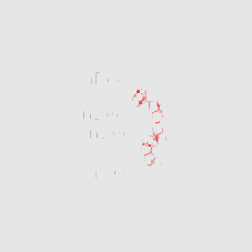 CCCCCCCCCCCCCCC(=O)OCC(COC(=O)COCCOCC(=O)OCC(COC(=O)CCCCCCCCCCCCCC)OC(=O)CCCCCCCCCCCCCC)OC(=O)CCCCCCCCCCCCCC